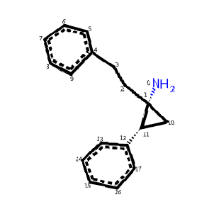 N[C@]1(CCc2ccccc2)C[C@@H]1c1ccccc1